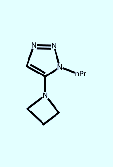 CCCn1nncc1N1CCC1